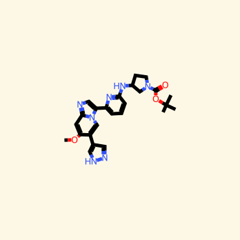 COc1cc2ncc(-c3cccc(NC4CCN(C(=O)OC(C)(C)C)C4)n3)n2cc1-c1cn[nH]c1